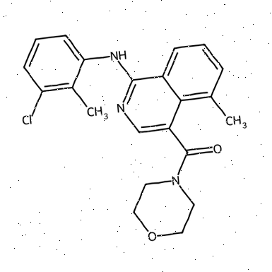 Cc1c(Cl)cccc1Nc1ncc(C(=O)N2CCOCC2)c2c(C)cccc12